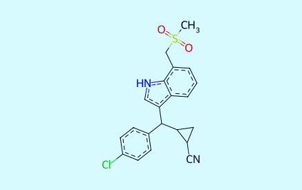 CS(=O)(=O)Cc1cccc2c(C(c3ccc(Cl)cc3)C3CC3C#N)c[nH]c12